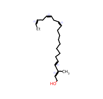 CC/C=C\C/C=C\C/C=C\CCCCCCC/C=C/C(C)=C/CO